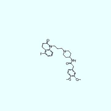 COc1ccc(CC(=O)NC2CCN(CCCN3C(=O)CCc4c(F)cccc43)CC2)cc1OC